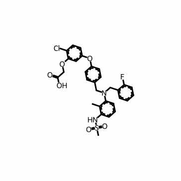 Cc1c(NS(C)(=O)=O)cccc1N(Cc1ccc(Oc2ccc(Cl)c(OCC(=O)O)c2)cc1)Cc1ccccc1F